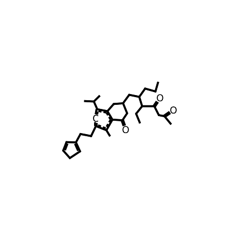 CCCC(CC1CC(=O)c2c(C)c(CCC3=CCC=C3)cc(C(C)C)c2C1)C(CC)C(=O)CC(C)=O